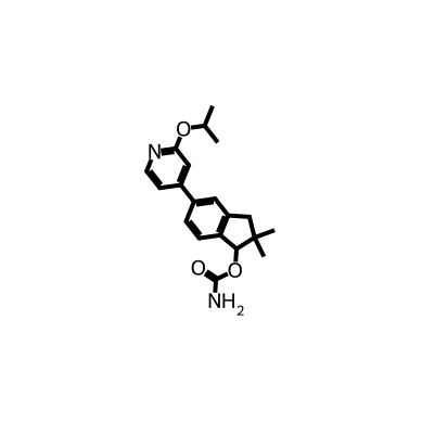 CC(C)Oc1cc(-c2ccc3c(c2)CC(C)(C)C3OC(N)=O)ccn1